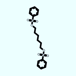 O=S(=O)(OCCCCCCOS(=O)(=O)c1ccccc1)c1ccccc1